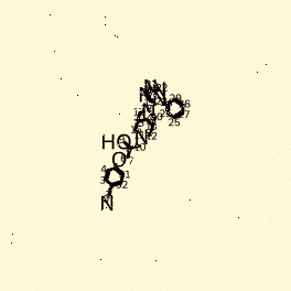 N#Cc1ccc(OCC(O)CN2CC3CC(C2)CN(c2nnnn2-c2ccccc2)C3)cc1